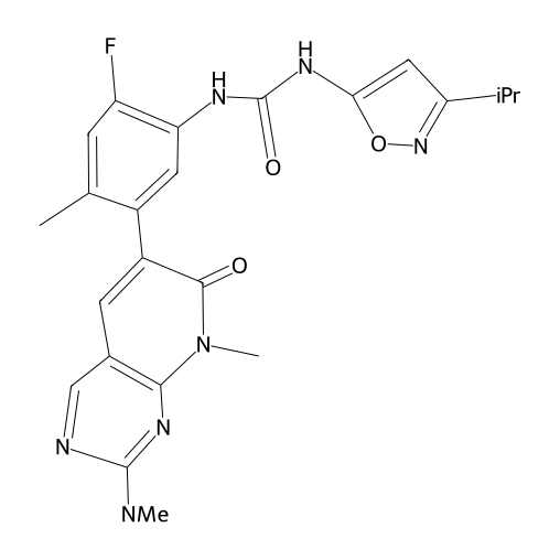 CNc1ncc2cc(-c3cc(NC(=O)Nc4cc(C(C)C)no4)c(F)cc3C)c(=O)n(C)c2n1